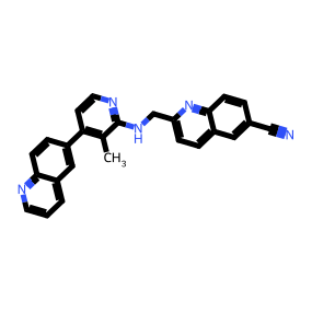 Cc1c(-c2ccc3ncccc3c2)ccnc1NCc1ccc2cc(C#N)ccc2n1